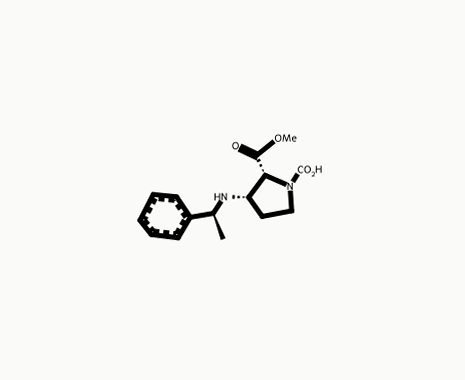 COC(=O)[C@H]1[C@@H](N[C@@H](C)c2ccccc2)CCN1C(=O)O